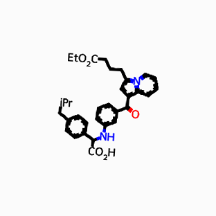 CCOC(=O)CCCc1cc(C(=O)c2cccc(NC(C(=O)O)c3ccc(CC(C)C)cc3)c2)c2ccccn12